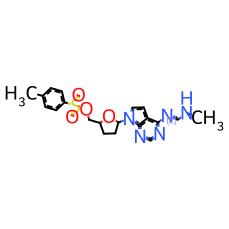 CN/C=N/c1ncnc2c1ccn2C1CCC(COS(=O)(=O)c2ccc(C)cc2)O1